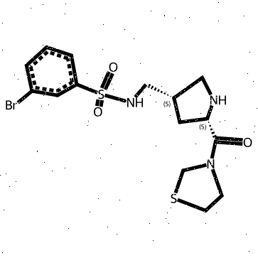 O=C([C@@H]1C[C@H](CNS(=O)(=O)c2cccc(Br)c2)CN1)N1CCSC1